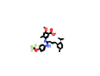 COC(=O)c1cc(/N=C(\CCC[C@@H]2C[C@H](C)CC[C@H]2C(C)C)Nc2ccc(OC(F)(F)F)cc2)c(C)cc1OC